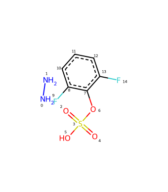 NN.O=S(=O)(O)Oc1c(F)cccc1F